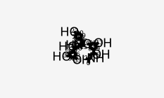 CC(C)NCC(O)c1cc(O)cc(O)c1.CC(Cc1ccc(O)cc1)NCC(O)c1cc(O)cc(O)c1